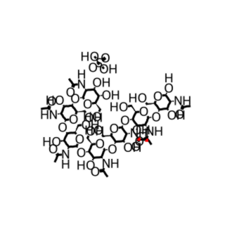 CC(=O)N[C@@H]1[C@@H](O)[C@H](O[C@H]2O[C@H](CO)[C@@H](O[C@H]3O[C@H](CO)[C@@H](O[C@H]4O[C@H](CO)[C@@H](O[C@H]5O[C@H](CO)[C@@H](O[C@H]6O[C@H](CO)[C@@H](O[C@H]7O[C@H](CO)[C@@H](O)[C@H](O)[C@H]7NC(C)=O)[C@H](O)[C@H]6NC(C)=O)[C@H](O)[C@H]5NC(C)=O)[C@H](O)[C@H]4NC(C)=O)[C@H](O)[C@H]3NC(C)=O)[C@H](O)[C@H]2NC(C)=O)[C@@H](CO)O[C@@H]1O.O=S(=O)(O)O